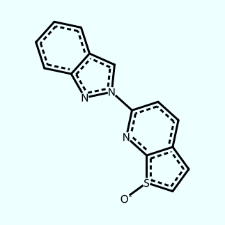 [O-][s+]1ccc2ccc(-n3cc4ccccc4n3)nc21